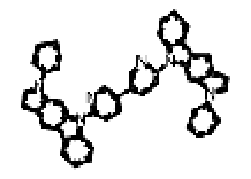 c1ccc(-n2ccc3cc4c5ccccc5n(-c5ccc(-c6ccc(-n7c8ccccc8c8cc9ccn(-c%10ccccc%10)c9cc87)nc6)cn5)c4cc32)cc1